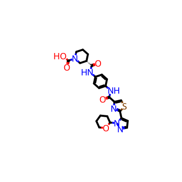 O=C(Nc1ccc(NC(=O)[C@H]2CCCN(C(=O)O)C2)cc1)c1csc(-c2ccnn2C2CCCCO2)n1